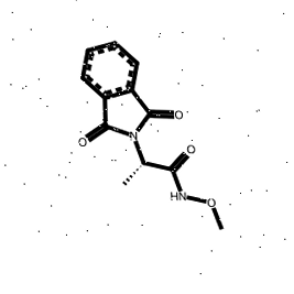 CONC(=O)[C@H](C)N1C(=O)c2ccccc2C1=O